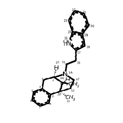 C[C@@H]1[C@H]2Cc3ccccc3[C@]1(C)CCN2CCc1cc2ccccc2[nH]1